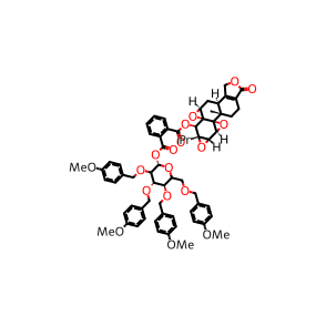 COc1ccc(COCC2O[C@@H](OC(=O)c3ccccc3C(=O)O[C@@H]3[C@@]4(C(C)C)O[C@H]4[C@@H]4O[C@]45[C@]34O[C@H]4C[C@H]3C4=C(CC[C@@]35C)C(=O)OC4)C(OCc3ccc(OC)cc3)[C@@H](OCc3ccc(OC)cc3)[C@@H]2OCc2ccc(OC)cc2)cc1